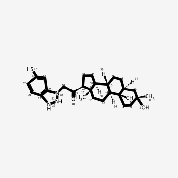 C[C@@]1(O)CC[C@@]2(C)[C@@H](CC[C@@H]3[C@@H]2CC[C@]2(C)[C@@H](C(=O)CN4NNc5ccc(S)cc54)CC[C@@H]32)C1